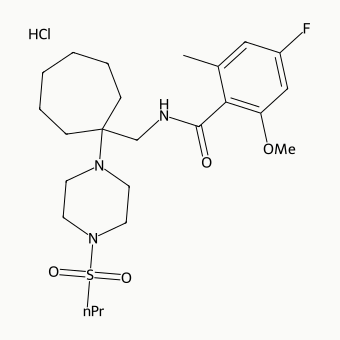 CCCS(=O)(=O)N1CCN(C2(CNC(=O)c3c(C)cc(F)cc3OC)CCCCCC2)CC1.Cl